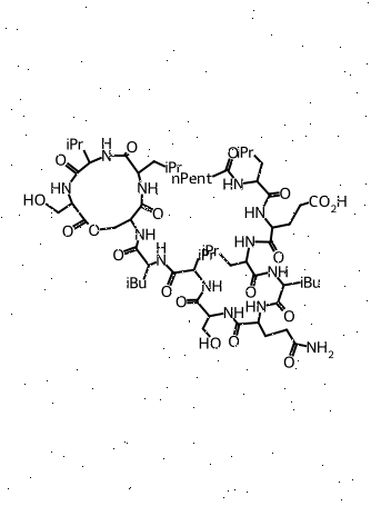 CCCCCC(=O)NC(CC(C)C)C(=O)NC(CCC(=O)O)C(=O)NC(CC(C)C)C(=O)NC(C(=O)NC(CCC(N)=O)C(=O)NC(CO)C(=O)NC(C(=O)NC(C(=O)NC1COC(=O)C(CO)NC(=O)C(C(C)C)NC(=O)C(CC(C)C)NC1=O)C(C)CC)C(C)C)C(C)CC